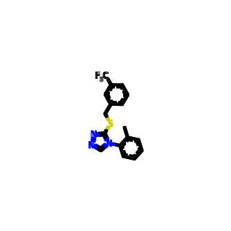 Cc1ccccc1-n1cnnc1SCc1cccc(C(F)(F)F)c1